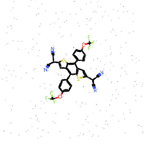 N#CC(C#N)c1cc2c(-c3ccc(OC(F)(F)F)cc3)c3sc(C(C#N)C#N)cc3c(-c3ccc(OC(F)(F)F)cc3)c2s1